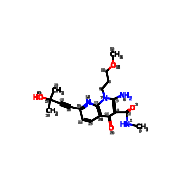 CNC(=O)c1c(N)n(CCCOC)c2nc(C#CC(C)(C)O)ccc2c1=O